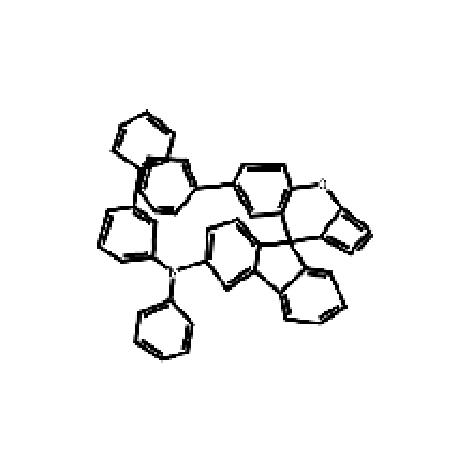 c1ccc(-c2cccc(N(c3ccccc3)c3ccc4c(c3)-c3ccccc3C43c4ccccc4Oc4ccc(-c5ccccc5)cc43)c2)cc1